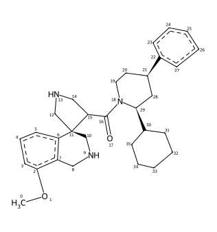 COc1cccc2c1CNC[C@]21CNCC1C(=O)N1CC[C@@H](c2ccccc2)C[C@H]1C1CCCCC1